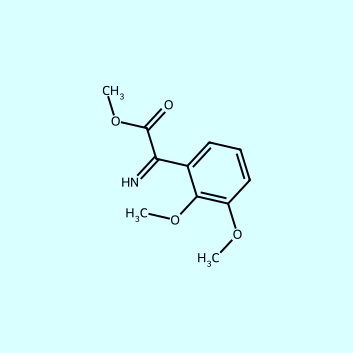 COC(=O)C(=N)c1cccc(OC)c1OC